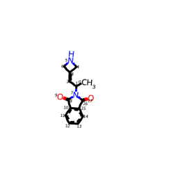 CC(C=C1CNC1)N1C(=O)c2ccccc2C1=O